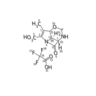 CC1=C(C(=O)O)N2C(=O)[C@H]3NCOC1[C@@H]32.O=C(O)C(F)(F)F